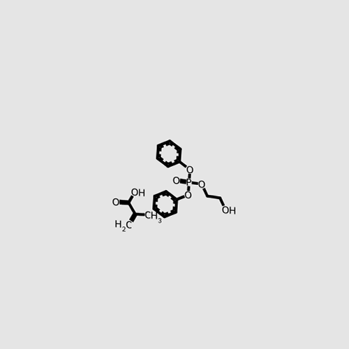 C=C(C)C(=O)O.O=P(OCCO)(Oc1ccccc1)Oc1ccccc1